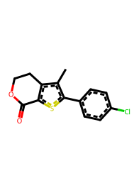 Cc1c(-c2ccc(Cl)cc2)sc2c1CCOC2=O